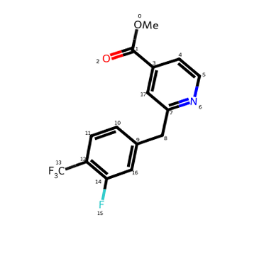 COC(=O)c1ccnc(Cc2ccc(C(F)(F)F)c(F)c2)c1